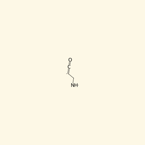 [NH]C[C]=C=O